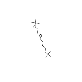 CC(C)(C)CCCCCOCCOC(C)(C)C